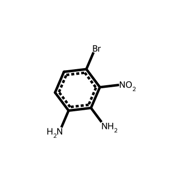 Nc1ccc(Br)c([N+](=O)[O-])c1N